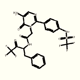 Nc1cnc(-c2ccc(NS(=O)(=O)C(F)(F)F)cc2)n(CC(=O)NC(Cc2ccccc2)C(=O)C(F)(F)F)c1=O